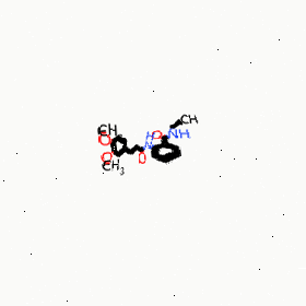 C#CCNC(=O)c1ccccc1NC(=O)/C=C/c1ccc(OC)c(OC)c1